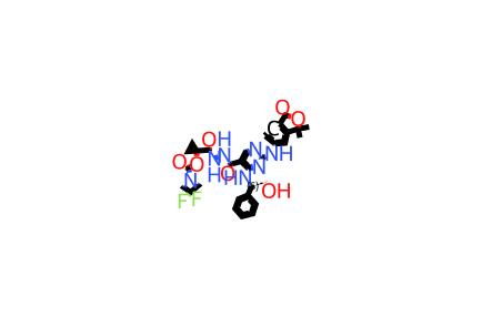 CC1(C)OC(=O)c2ccc(Nc3ncc(C(=O)NNC(=O)C4(OC(=O)N5CC(F)(F)C5)CC4)c(N[C@H](CO)c4ccccc4)n3)cc21